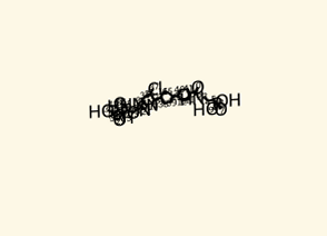 O=C(NCCCP(=O)(O)O)c1ccc(-c2ccc(-c3nc4nc(O[C@@H]5CO[C@H]6[C@@H]5OC[C@H]6O)[nH]c4cc3Cl)cc2)cc1